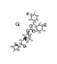 O=C(OC(c1cccc(F)c1)c1cccc(F)c1)OC1C[N+]2(CC(=O)c3cccs3)CCC1CC2.[Cl-]